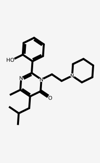 Cc1nc(-c2ccccc2O)n(CCN2CCCCC2)c(=O)c1CC(C)C